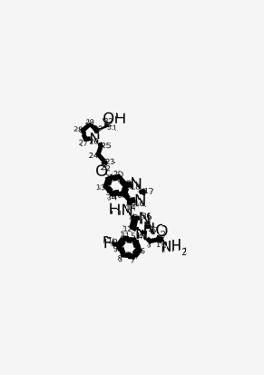 NC(=O)C[N+]1(c2cccc(F)c2)C=C(Nc2ncnc3cc(OCCCN4CCC[C@H]4CO)ccc23)N=N1